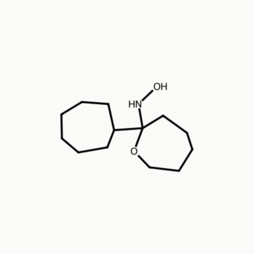 ONC1(C2CCCCCC2)CCCCCO1